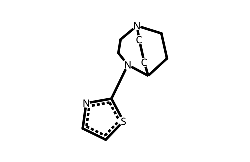 c1csc(N2CCN3CCC2CC3)n1